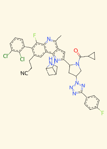 Cc1nc2c(F)c(-c3cccc(Cl)c3Cl)c(CCC#N)cc2c2c1cc(C1CC(n3nnc(-c4ccc(F)cc4)n3)CN1C(=O)C1CC1)n2C1C2CNC1C2